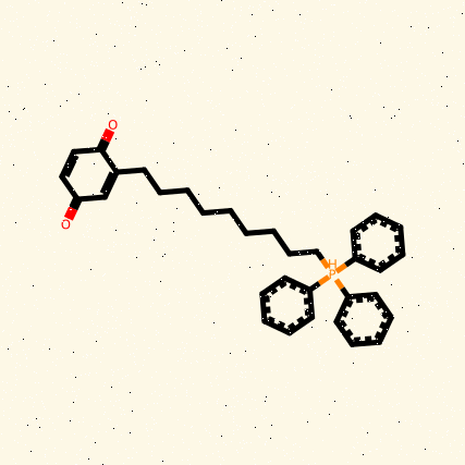 O=C1C=CC(=O)C(CCCCCCCCC[PH](c2ccccc2)(c2ccccc2)c2ccccc2)=C1